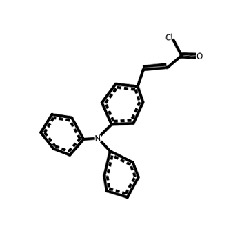 O=C(Cl)C=Cc1ccc(N(c2ccccc2)c2ccccc2)cc1